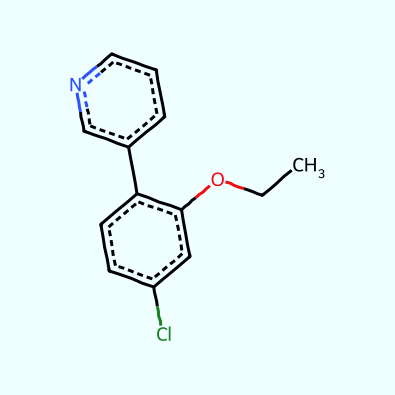 CCOc1cc(Cl)ccc1-c1cccnc1